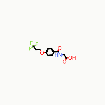 O=C(O)CNC(=O)c1ccc(OCCC(F)(F)F)cc1